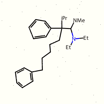 CCN(CC)C(NC)C(CCCCCc1ccccc1)(c1ccccc1)C(C)C